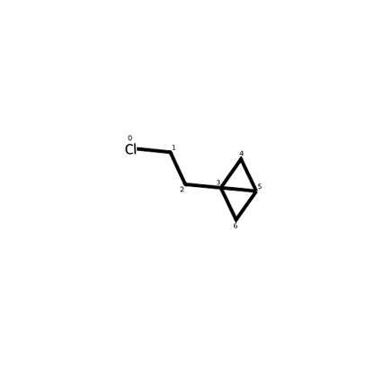 ClCCC12CC1C2